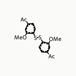 COc1cc(C(C)=O)ccc1SSc1ccc(C(C)=O)cc1OC